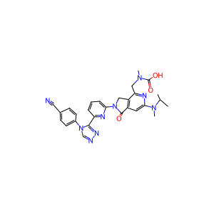 CC(C)N(C)c1cc2c(c(CN(C)C(=O)O)n1)CN(c1cccc(-c3nncn3-c3ccc(C#N)cc3)n1)C2=O